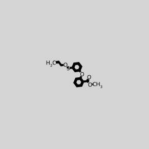 C=CCOSc1cccc(Oc2ccccc2C(=O)OC)c1